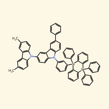 Cc1ccc2c(c1)c1cc(C)ccc1n2-c1ccc2c(c1)c1cc(-c3ccccc3)ccc1n2-c1cccc([Si]2(c3ccccc3)c3ccccc3[Si](c3ccccc3)(c3ccccc3)c3ccccc32)c1